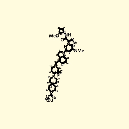 CNc1cc(N2CCc3c(CN4CC[C@@H](N5CCC6(CCN(C(=O)OC(C)(C)C)CC6)CC5)C(F)(F)C4)cccc32)nn2c(C(=O)N[C@@H]3CC[C@H]3OC)cnc12